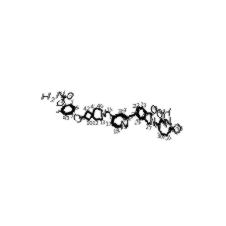 NC(=O)Oc1ccc(OC2CC3(CCN(Cc4ccnc(-c5ccc6c(c5)CN(C5CCC(=O)NC5=O)C6=O)c4)CC3)C2)cc1